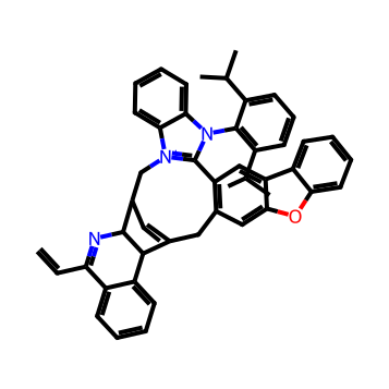 C=CC1=NC2C3C=C(Cc4cc5oc6ccccc6c5cc4-c4n(-c5c(C(C)C)cccc5C(C)C)c5ccccc5[n+]4C3)C2c2ccccc21